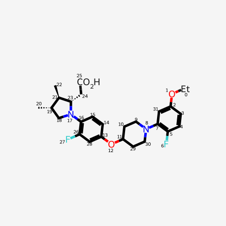 CCOc1ccc(F)c(N2CCC(Oc3ccc(N4C[C@H](C)[C@@H](C)[C@@H]4CC(=O)O)c(F)c3)CC2)c1